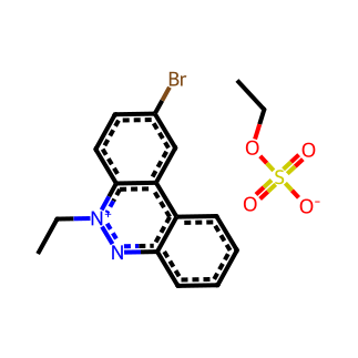 CCOS(=O)(=O)[O-].CC[n+]1nc2ccccc2c2cc(Br)ccc21